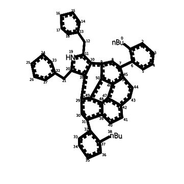 CCCCc1ccccc1-c1cc2c3c(Cc4ccccc4)[nH]c(Cc4ccccc4)c3c3cc(-c4ccccc4CCCC)c4ccc5ccc1c1c5c4c3c21